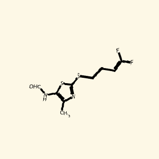 Cc1nc(SCCC=C(F)F)sc1NC=O